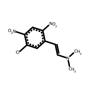 CN(C)/C=C/c1cc(Cl)c([N+](=O)[O-])cc1[N+](=O)[O-]